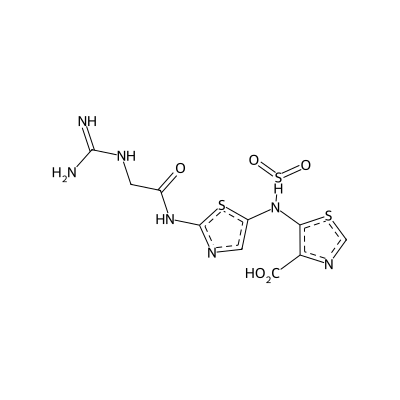 N=C(N)NCC(=O)Nc1ncc(N(c2scnc2C(=O)O)[SH](=O)=O)s1